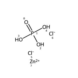 O=P(O)(O)O.[Cl-].[Cl-].[Zn+2]